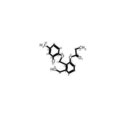 CCC(=O)Oc1cccc(CO)c1COc1ccc(C)cc1Cl